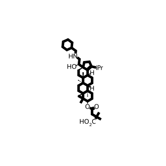 CC(C)C1=C2[C@H]3CC[C@@H]4[C@@]5(C)CC[C@H](OC(=O)CC(C)(C)C(=O)O)C6(C)C[C@]65CC[C@@]4(C)[C@]3(C)CC[C@@]2([C@H](O)CNCC2CCCCC2)CC1